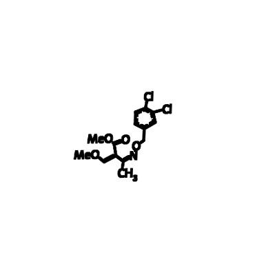 COC=C(C(=O)OC)C(C)=NOCc1ccc(Cl)c(Cl)c1